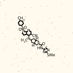 CSc1nsc(NC(=O)N2C[C@H]3C[C@H](N(C)c4c(C#N)cnc5c4ccn5S(=O)(=O)c4ccc(C)cc4)C[C@H]3C2)n1